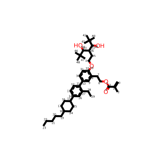 C=C(C)C(=O)OCCc1cc(-c2ccc(C3CCC(CCCCC)CC3)cc2CC)ccc1OCCC(C(O)C(C)(C)C)C(O)C(C)(C)C